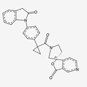 O=C1O[C@]2(CCN(C(=O)C3(c4ccc(N5C(=O)Cc6ccccc65)cc4)CC3)C2)c2ccncc21